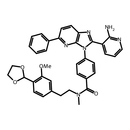 COc1cc(CCN(C)C(=O)c2ccc(-n3c(-c4cccnc4N)nc4ccc(-c5ccccc5)nc43)cc2)ccc1C1OCCO1